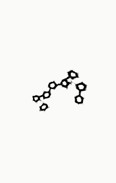 c1ccc(-c2cccc(-n3c4ccccc4c4cc(-c5cccc(-c6ccc7c(c6)c6ccccc6n7-c6ccccc6)c5)ccc43)c2)cc1